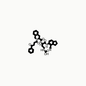 N#Cc1c(NC(=O)C(CCNC(=O)O)NC(=O)C2Cc3ccccc3CN2C(=O)CCC(=O)c2ccccc2)ccc2c1CCC2